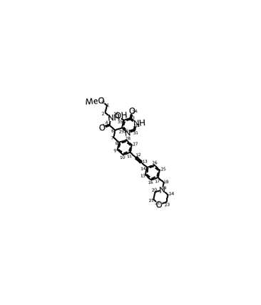 COCCNC(=O)C(Cc1ccc(C#Cc2ccc(CN3CCOCC3)cc2)cc1)c1nc[nH]c(=O)c1O